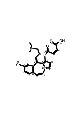 CN(C)CC/C=C1/c2cc(Cl)ccc2C=Cn2ccc(OC(=O)/C=C\C(=O)O)c21